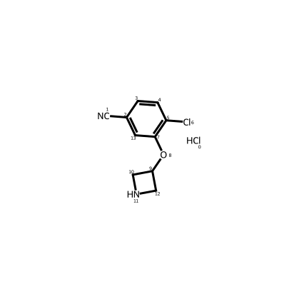 Cl.N#Cc1ccc(Cl)c(OC2CNC2)c1